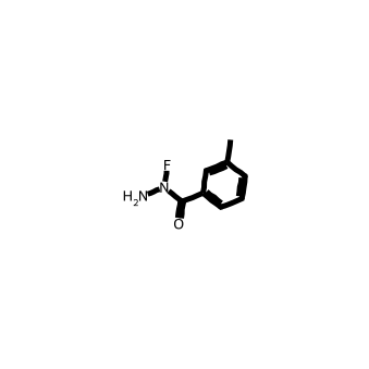 Cc1cccc(C(=O)N(N)F)c1